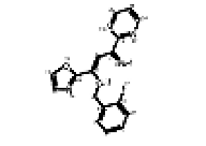 N=C(/C=C(\NCc1ccccc1F)c1ncco1)c1ncccn1